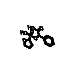 O=C(O)C(OP(=O)(O)C1CCCO1)c1ccccc1